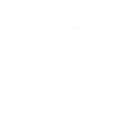 CS(=O)(=O)Nc1cc(Br)cc(NC(=O)c2cc(-n3cccn3)cs2)c1